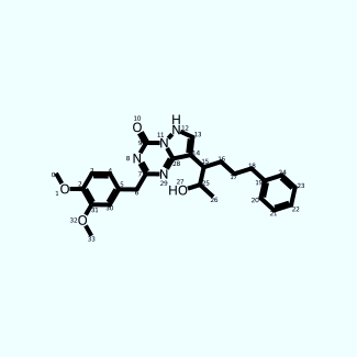 COc1ccc(Cc2nc(=O)n3[nH]cc(C(CCCc4ccccc4)C(C)O)c3n2)cc1OC